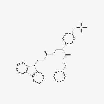 CS(=O)(=O)Oc1ccc(C(CNC(=O)OCC2c3ccccc3-c3ccccc32)C(=O)OCc2ccccc2)cc1